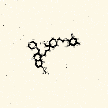 COc1ccc2ncc(CN3CCOCC3)c(CCCC3(CO)CCN(CCOc4c(F)cc(F)cc4F)CC3)c2c1